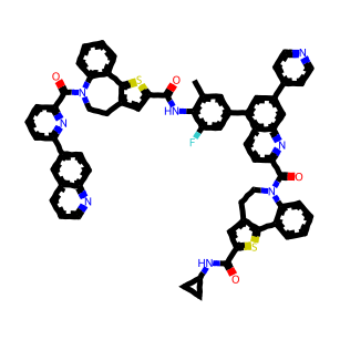 Cc1cc(-c2cc(-c3ccncc3)cc3nc(C(=O)N4CCc5cc(C(=O)NC6CC6)sc5-c5ccccc54)ccc23)cc(F)c1NC(=O)c1cc2c(s1)-c1ccccc1N(C(=O)c1cccc(-c3ccc4ncccc4c3)n1)CC2